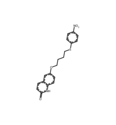 O=c1ccc2cc(OCCCCSc3ccc([N+](=O)[O-])cc3)ccc2[nH]1